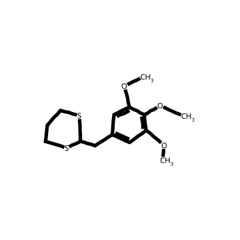 COc1cc(CC2SCCCS2)cc(OC)c1OC